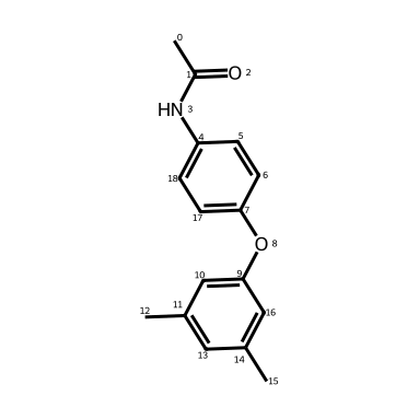 CC(=O)Nc1ccc(Oc2cc(C)cc(C)c2)cc1